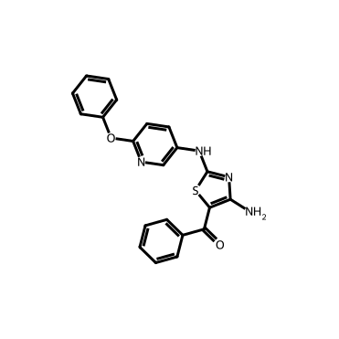 Nc1nc(Nc2ccc(Oc3ccccc3)nc2)sc1C(=O)c1ccccc1